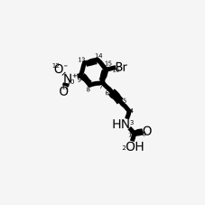 O=C(O)NCC#Cc1cc([N+](=O)[O-])ccc1Br